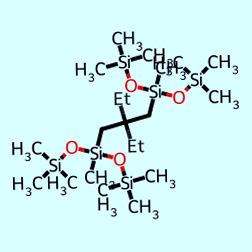 CCC(CC)(C[Si](C)(O[Si](C)(C)C)O[Si](C)(C)C)C[Si](C)(O[Si](C)(C)C)O[Si](C)(C)C